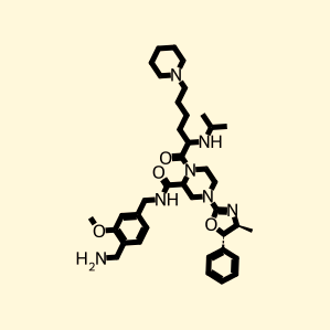 COc1cc(CNC(=O)C2CN(C3=N[C@@H](C)[C@H](c4ccccc4)O3)CCN2C(=O)C(CCCCN2CCCCC2)NC(C)C)ccc1CN